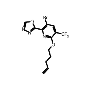 C=CCCCOc1nc(-c2nnco2)c(Br)cc1C(F)(F)F